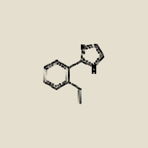 C=Cc1ccccc1-c1ncc[nH]1